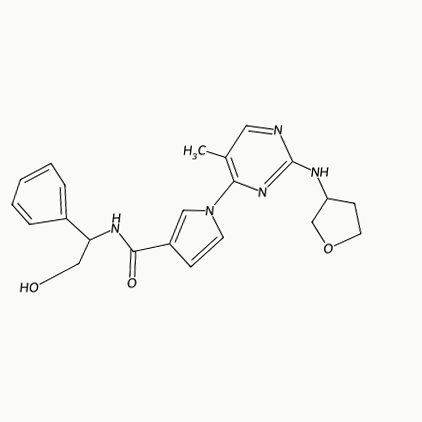 Cc1cnc(NC2CCOC2)nc1-n1ccc(C(=O)NC(CO)c2ccccc2)c1